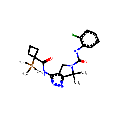 CC1(C)c2[nH]nc(NC(=O)C3(S(C)(C)C)CCC3)c2CN1C(=O)Nc1ccccc1Cl